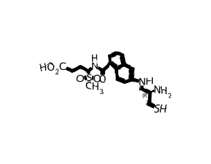 CS(=O)(=O)C(CCC(=O)O)NC(=O)c1cccc2cc(NC[C@@H](N)CS)ccc12